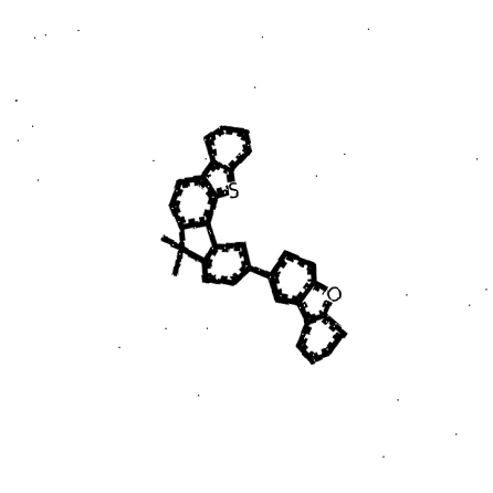 CC1(C)c2ccc(-c3ccc4oc5ccccc5c4c3)cc2-c2c1ccc1c2sc2ccccc21